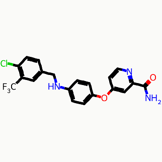 NC(=O)c1cc(Oc2ccc(NCc3ccc(Cl)c(C(F)(F)F)c3)cc2)ccn1